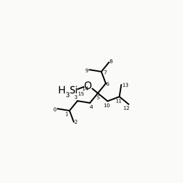 CC(C)CCC(CC(C)C)(CC(C)C)O[SiH3]